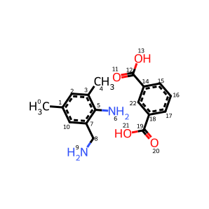 Cc1cc(C)c(N)c(CN)c1.O=C(O)c1cccc(C(=O)O)c1